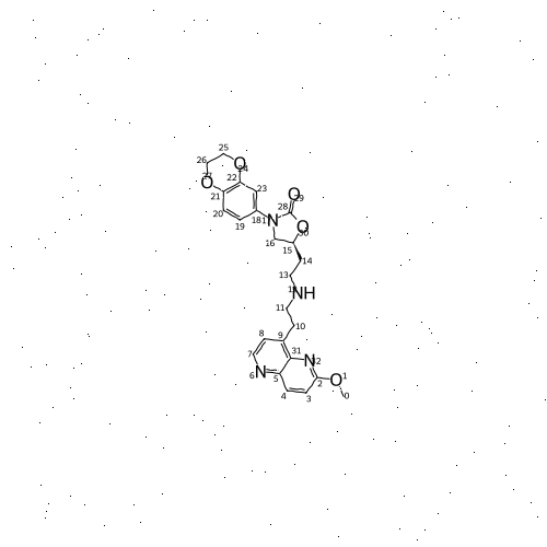 COc1ccc2nccc(CCNCC[C@H]3CN(c4ccc5c(c4)OCCO5)C(=O)O3)c2n1